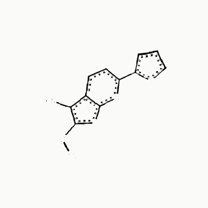 Nc1c(SO)sc2nc(-c3cccs3)ccc12